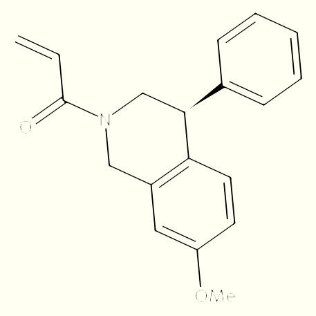 C=CC(=O)N1Cc2cc(OC)ccc2[C@H](c2ccccc2)C1